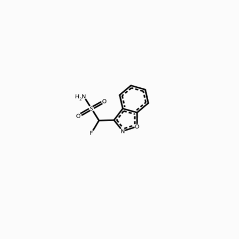 NS(=O)(=O)C(F)c1noc2ccccc12